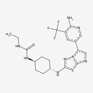 CCNC(=O)N[C@H]1CC[C@H](Nc2nn3c(-c4cnc(N)c(C(F)(F)F)c4)cnc3s2)CC1